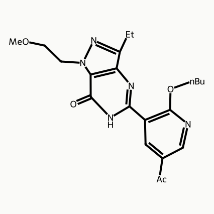 CCCCOc1ncc(C(C)=O)cc1-c1nc2c(CC)nn(CCOC)c2c(=O)[nH]1